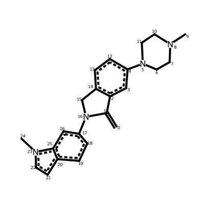 C=C1c2cc(N3CCN(C)CC3)ccc2CN1c1ccc2ccn(C)c2c1